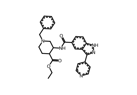 CCOC(=O)C1CCN(Cc2ccccc2)CC1NC(=O)c1ccc2[nH]nc(-c3ccncc3)c2c1